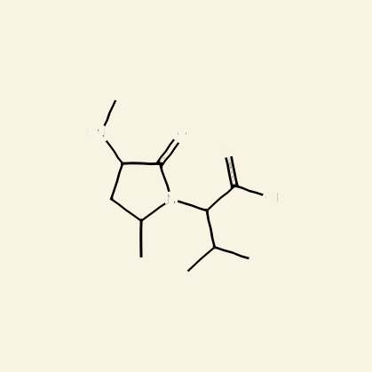 CNC1CC(C)N(C(C(=O)O)C(C)C)C1=O